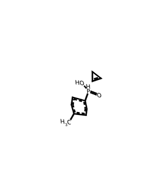 C1=CC1.Cc1ccc([PH](=O)O)cc1